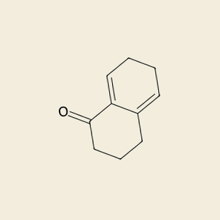 O=C1CCCC2=CCCC=C12